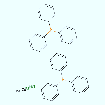 Cl.Cl.[Cu].[Pd].c1ccc(P(c2ccccc2)c2ccccc2)cc1.c1ccc(P(c2ccccc2)c2ccccc2)cc1